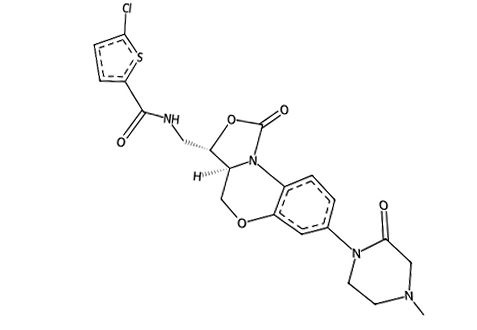 CN1CCN(c2ccc3c(c2)OC[C@H]2[C@H](CNC(=O)c4ccc(Cl)s4)OC(=O)N32)C(=O)C1